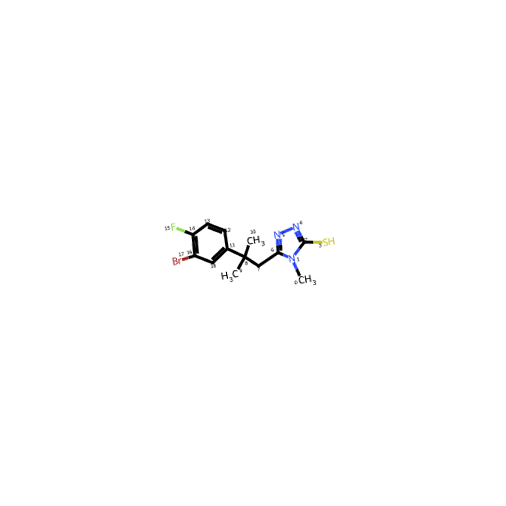 Cn1c(S)nnc1CC(C)(C)c1ccc(F)c(Br)c1